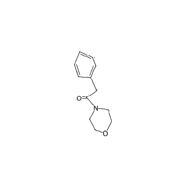 O=C(Cc1c[c]ccc1)N1CCOCC1